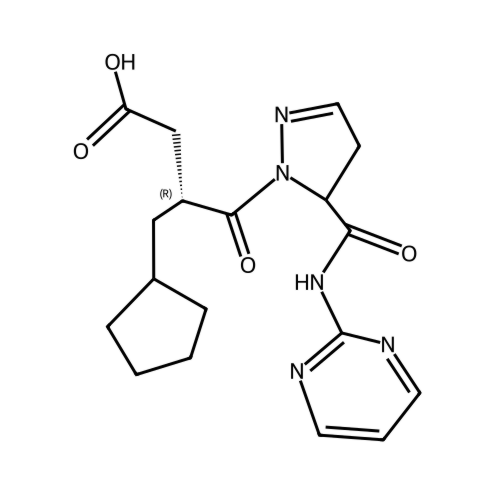 O=C(O)C[C@@H](CC1CCCC1)C(=O)N1N=CCC1C(=O)Nc1ncccn1